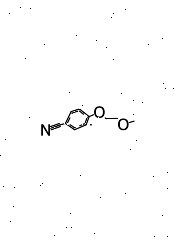 COCCOc1[c]cc(C#N)cc1